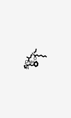 CCCCCCC(=O)N(CCC)CCC(C)C(=O)NC(Cc1ccccc1)c1nccs1